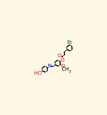 COc1cc(/C=N/c2ccc(O)cc2)ccc1OC(=O)C=Cc1cccc(Br)c1